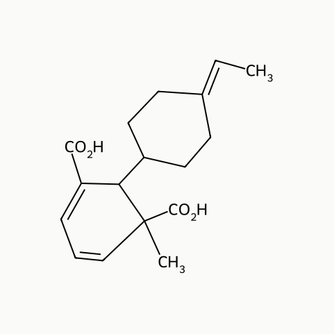 CC=C1CCC(C2C(C(=O)O)=CC=CC2(C)C(=O)O)CC1